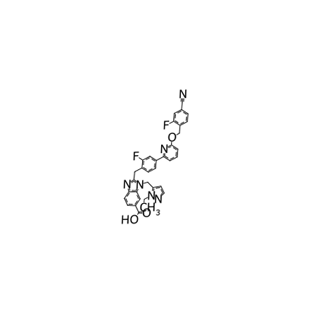 CCn1nccc1Cn1c(Cc2ccc(-c3cccc(OCc4ccc(C#N)cc4F)n3)cc2F)nc2ccc(C(=O)O)cc21